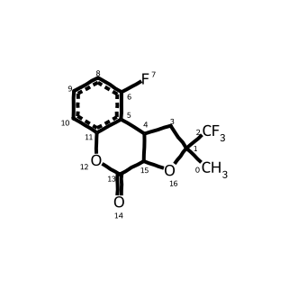 CC1(C(F)(F)F)CC2c3c(F)cccc3OC(=O)C2O1